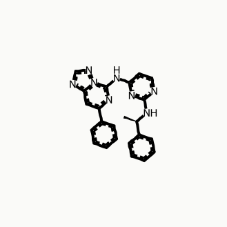 C[C@@H](Nc1nccc(Nc2nc(-c3ccccc3)cc3ncnn23)n1)c1ccccc1